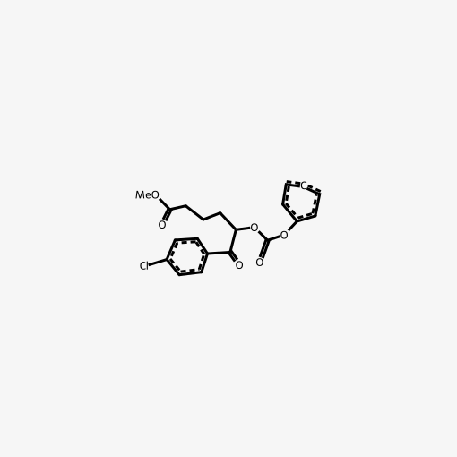 COC(=O)CCCC(OC(=O)Oc1ccccc1)C(=O)c1ccc(Cl)cc1